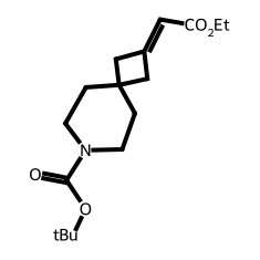 CCOC(=O)C=C1CC2(CCN(C(=O)OC(C)(C)C)CC2)C1